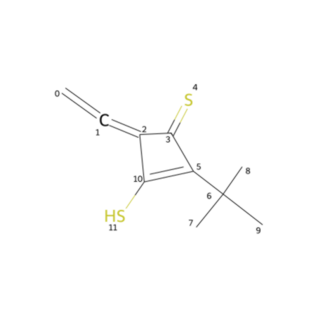 C=C=C1C(=S)C(C(C)(C)C)=C1S